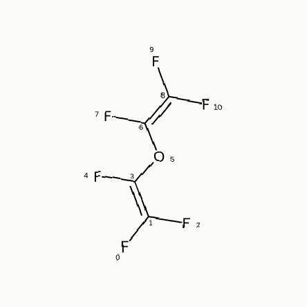 FC(F)=C(F)OC(F)=C(F)F